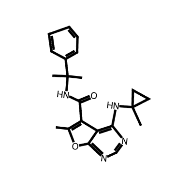 Cc1oc2ncnc(NC3(C)CC3)c2c1C(=O)NC(C)(C)c1ccccc1